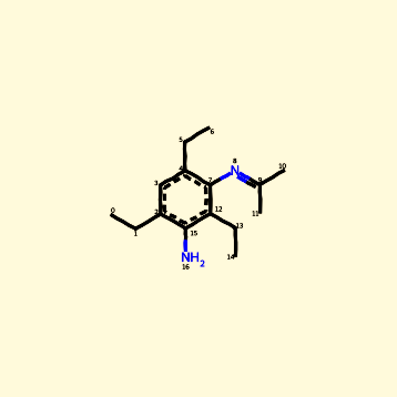 CCc1cc(CC)c(N=C(C)C)c(CC)c1N